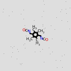 Cc1c(C)c(CN=C=O)c(C)c(C)c1CN=C=O